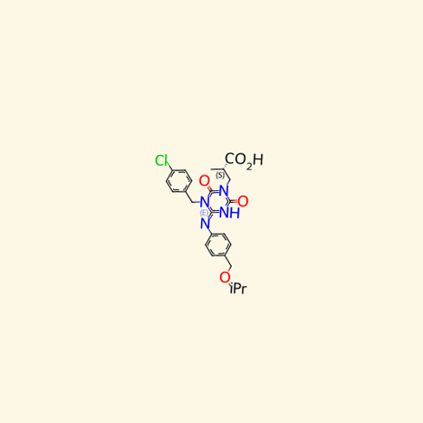 CC(C)OCc1ccc(/N=c2\[nH]c(=O)n(C[C@H](C)C(=O)O)c(=O)n2Cc2ccc(Cl)cc2)cc1